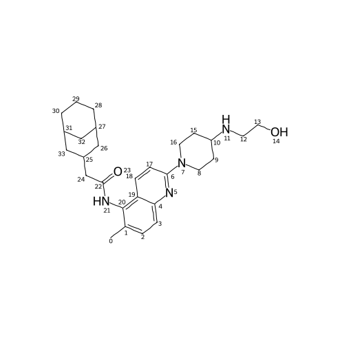 Cc1ccc2nc(N3CCC(NCCO)CC3)ccc2c1NC(=O)CC1CC2CCCC(C2)C1